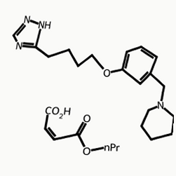 CCCOC(=O)/C=C\C(=O)O.c1cc(CN2CCCCC2)cc(OCCCCc2ncn[nH]2)c1